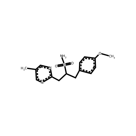 COc1ccc(CC(Cc2ncc(C)cn2)S(N)(=O)=O)cc1